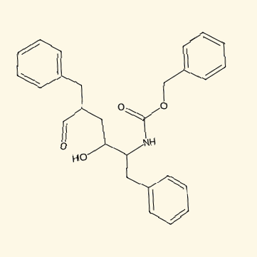 O=CC(Cc1ccccc1)CC(O)C(Cc1ccccc1)NC(=O)OCc1ccccc1